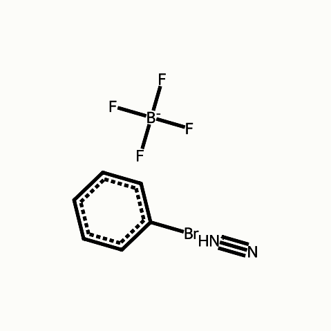 Brc1ccccc1.F[B-](F)(F)F.N#[NH+]